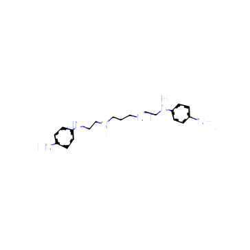 Nc1ccc(NCCNCCCNCCNc2ccc(N)cc2)cc1